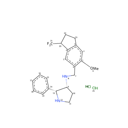 COc1cc2c(cc1CN[C@@H]1CCN[C@@H]1c1ccccc1)C(C(F)(F)F)CC2.Cl.Cl